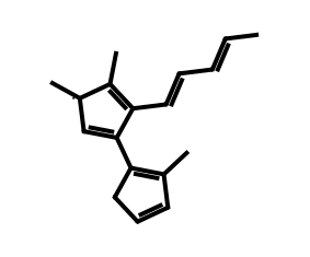 CC=CC=CC1=C(C)[C](C)C=C1C1=C(C)C=CC1